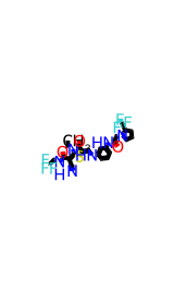 CCn1c(=C(C#N)C(=O)NCC(F)(F)F)sc(=CNc2cccc(NC(=O)CN3CCCC3C(F)(F)F)c2)c1=O